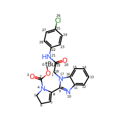 CC(C)(C)OC(=O)N1CCC=C1c1nc2ccccc2n1CC(=O)Nc1ccc(Cl)cc1